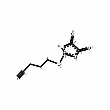 C#CCCCOn1oc(=O)c(=O)o1